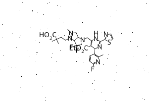 CCOC(=O)C1=C(CN2CC(F)(F)C3C2CN(C)N3CCC(C)(C)C(=O)O)NC(c2nccs2)=NC1c1ccc(F)nc1C